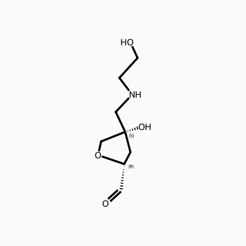 O=C[C@H]1C[C@](O)(CNCCO)CO1